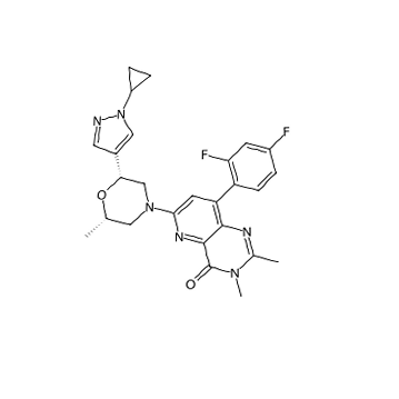 Cc1nc2c(-c3ccc(F)cc3F)cc(N3C[C@@H](c4cnn(C5CC5)c4)O[C@@H](C)C3)nc2c(=O)n1C